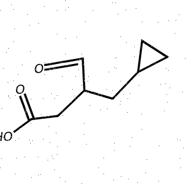 O=CC(CC(=O)O)CC1CC1